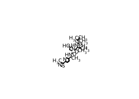 Cc1ncsc1-c1ccc([C@H](C)NC(=O)[C@@H]2C[C@@H](O)CN2C(=O)[C@@H](NC(=O)OC(C)(C)C)C(C)(C)C)cn1